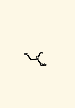 CO[SiH](CC(C)C)C(C)C